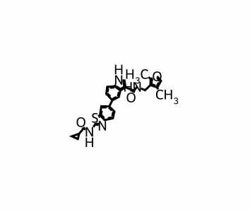 Cc1coc(C)c1CNC(=O)c1c[nH]c2ccc(-c3ccc4nc(NC(=O)C5CC5)sc4c3)cc12